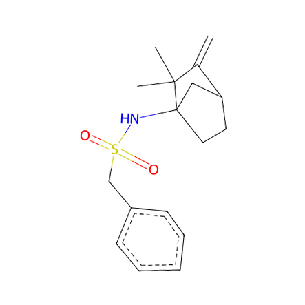 C=C1C2CCC(NS(=O)(=O)Cc3ccccc3)(C2)C1(C)C